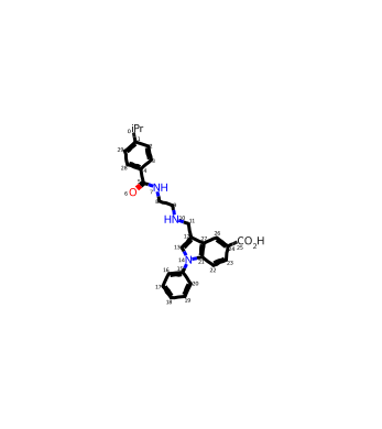 CC(C)c1ccc(C(=O)NCCNCc2cn(-c3ccccc3)c3ccc(C(=O)O)cc23)cc1